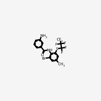 Cc1cc(Br)c(NC(=O)c2cccc(N)c2)c(SC(F)(F)C(F)(F)C(F)(F)F)c1